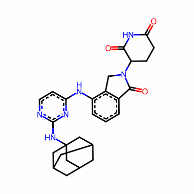 O=C1CCC(N2Cc3c(Nc4ccnc(NC56CC7CC(CC(C7)C5)C6)n4)cccc3C2=O)C(=O)N1